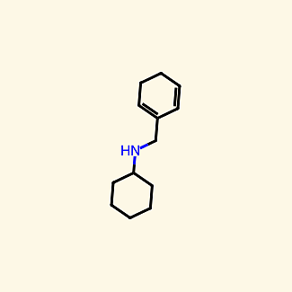 C1=CC(CNC2CCCCC2)=CCC1